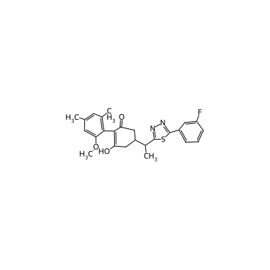 COc1cc(C)cc(C)c1C1=C(O)CC(C(C)c2nnc(-c3cccc(F)c3)s2)CC1=O